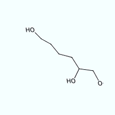 [O]CC(O)CCCCO